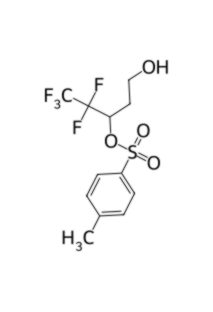 Cc1ccc(S(=O)(=O)OC(CCO)C(F)(F)C(F)(F)F)cc1